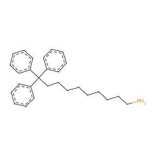 PCCCCCCCCCC(c1ccccc1)(c1ccccc1)c1ccccc1